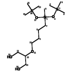 C[Si](C)(C)O[Si](C)(CCCCOC(CO)CO)O[Si](C)(C)C